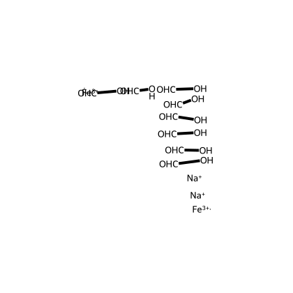 O=[C-]O.O=[C-]O.O=[C-]O.O=[C-]O.O=[C-]O.O=[C-]O.O=[C-]O.O=[C-]O.[Fe+3].[Fe+3].[Na+].[Na+]